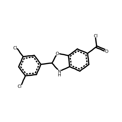 O=C(Cl)c1ccc2c(c1)OC(c1cc(Cl)cc(Cl)c1)N2